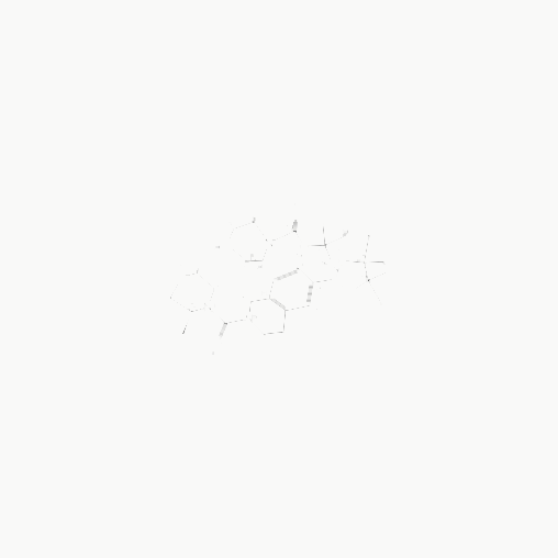 C[C@H]1COCCN1C(=O)N1CCc2cc(B3OC(C)(C)C(C)(C)O3)cc([C@@H]3COCCN3C(=O)OC(C)(C)C)c2C1